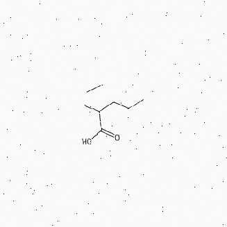 CC.CCCC(C)C(=O)O